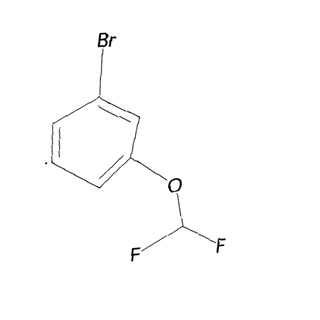 FC(F)Oc1c[c]cc(Br)c1